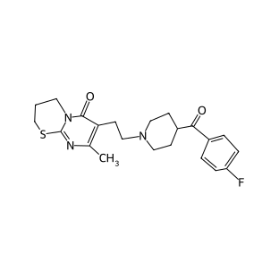 Cc1nc2n(c(=O)c1CCN1CCC(C(=O)c3ccc(F)cc3)CC1)CCCS2